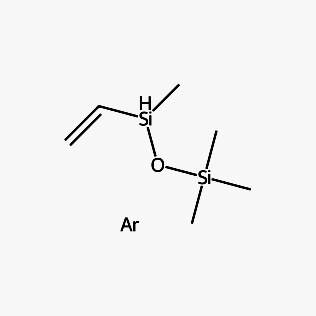 C=C[SiH](C)O[Si](C)(C)C.[Ar]